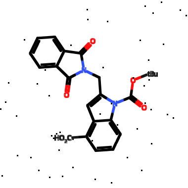 CC(C)(C)OC(=O)n1c(CN2C(=O)c3ccccc3C2=O)cc2c(C(=O)O)cccc21